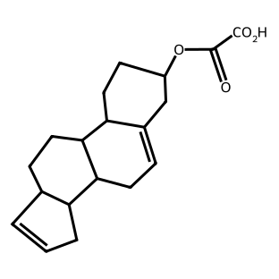 O=C(O)C(=O)OC1CCC2C(=CCC3C4CC=CC4CCC23)C1